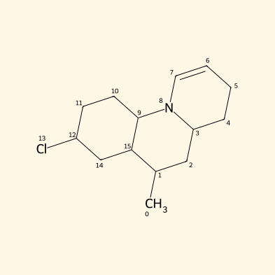 CC1CC2CCC=CN2C2CCC(Cl)CC12